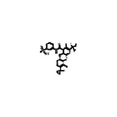 Cc1c(C(F)(F)F)nnc(Oc2ccc(C3(F)CC3)c(F)c2F)c1C(=O)Nc1cccc(S(C)(=N)=O)c1